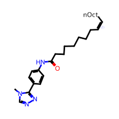 CCCCCCCC/C=C\CCCCCCCC(=O)Nc1ccc(-c2nncn2C)cc1